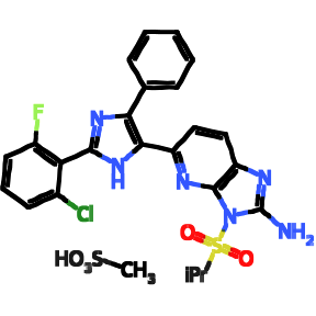 CC(C)S(=O)(=O)n1c(N)nc2ccc(-c3[nH]c(-c4c(F)cccc4Cl)nc3-c3ccccc3)nc21.CS(=O)(=O)O